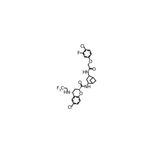 O=C(COc1ccc(Cl)c(F)c1)NC1CC(NC(=O)[C@@H]2C[C@@H](NCC(F)(F)F)c3cc(Cl)ccc3O2)C2CC1C2